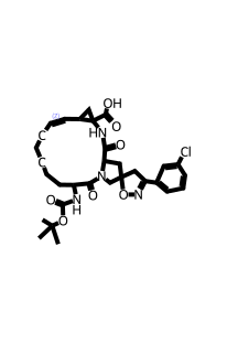 CC(C)(C)OC(=O)NC1CCCCC/C=C\C2CC2(C(=O)O)NC(=O)C2CC3(CC(c4cccc(Cl)c4)=NO3)CN2C1=O